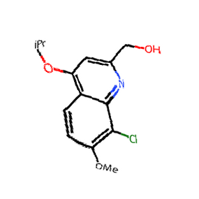 COc1ccc2c(OC(C)C)cc(CO)nc2c1Cl